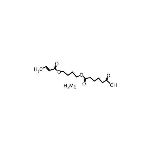 CC=CC(=O)OCCCCOC(=O)CCCCC(=O)O.[MgH2]